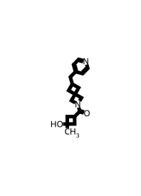 CC1(O)CC(C(=O)N2CC3(CC(Cc4ccncc4)C3)C2)C1